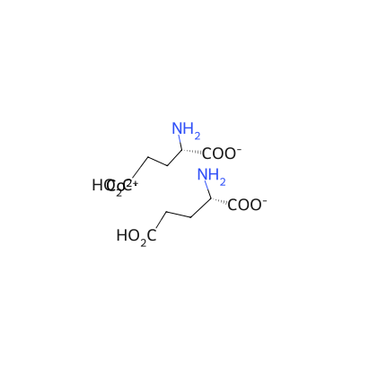 N[C@@H](CCC(=O)O)C(=O)[O-].N[C@@H](CCC(=O)O)C(=O)[O-].[Co+2]